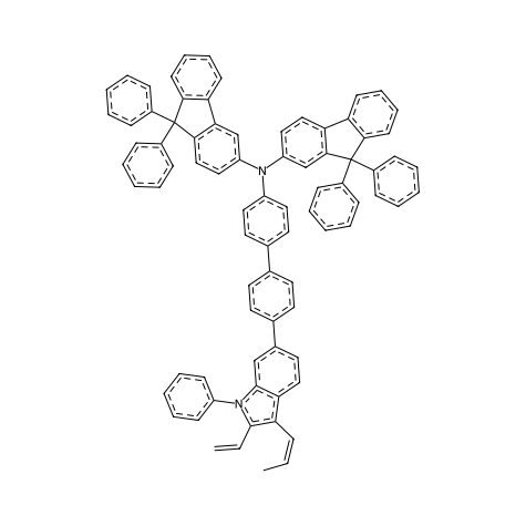 C=Cc1c(/C=C\C)c2ccc(-c3ccc(-c4ccc(N(c5ccc6c(c5)-c5ccccc5C6(c5ccccc5)c5ccccc5)c5ccc6c(c5)C(c5ccccc5)(c5ccccc5)c5ccccc5-6)cc4)cc3)cc2n1-c1ccccc1